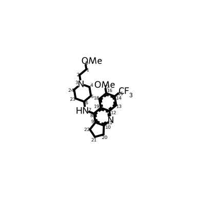 COCCN1CCC(Nc2c3c(nc4cc(C(F)(F)F)c(OC)cc24)CCC3)CC1